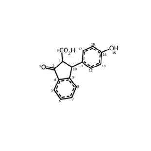 O=C(O)C1C(=O)c2ccccc2C1c1ccc(O)cc1